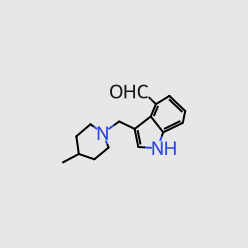 CC1CCN(Cc2c[nH]c3cccc(C=O)c23)CC1